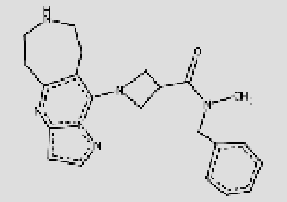 CN(Cc1ccccc1)C(=O)C1CN(c2c3c(nc4ccnn24)CCNCC3)C1